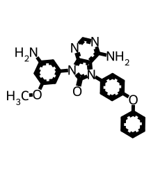 COc1cc(N)cc(-n2c(=O)n(-c3ccc(Oc4ccccc4)cc3)c3c(N)ncnc32)c1